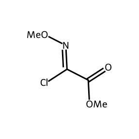 CON=C(Cl)C(=O)OC